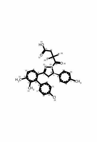 Cc1ccc([C@H]2CC(c3ccc(C)c(C)c3-c3ccc(Cl)cc3)=NN2C(=O)C(F)(F)CC(=O)O)cc1